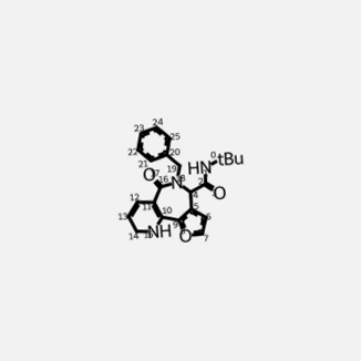 CC(C)(C)NC(=O)C1c2ccoc2C2=C(C=CCN2)C(=O)N1Cc1ccccc1